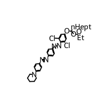 CCCCCCCC(OC(=O)CC)Oc1cc(Cl)c(/N=N/c2ccc(/N=N/c3ccc(N4CCCCC4)cc3)cc2)c(Cl)c1